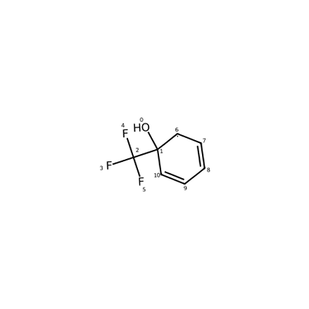 OC1(C(F)(F)F)[CH]C=CC=C1